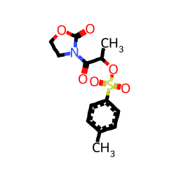 Cc1ccc(S(=O)(=O)OC(C)C(=O)N2CCOC2=O)cc1